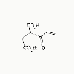 C=CC(=O)C(CC(=O)OCC)C(=O)O